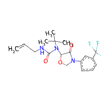 C=CCNC(=O)N(C1OCN(c2cccc(C(F)(F)F)c2)C1=O)C(C)(C)C